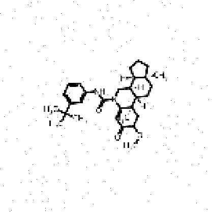 COC1C[C@@]2(C)C(=CC1=O)N(C(=O)Nc1cccc(C(C)(C)C)c1)C[C@H]1[C@@H]3CCC[C@@]3(C)CC[C@@H]12